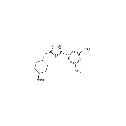 CC(=O)N[C@H]1CC[C@H](Cn2nnc(-c3cc(C)nc(C(=O)O)c3)n2)CC1